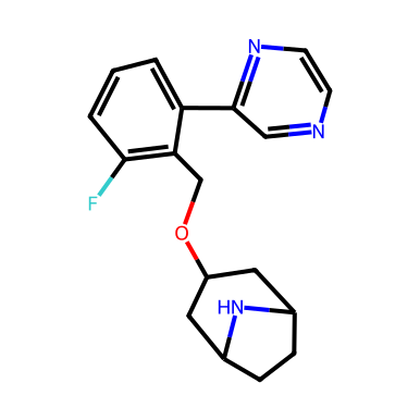 Fc1cccc(-c2cnccn2)c1COC1CC2CCC(C1)N2